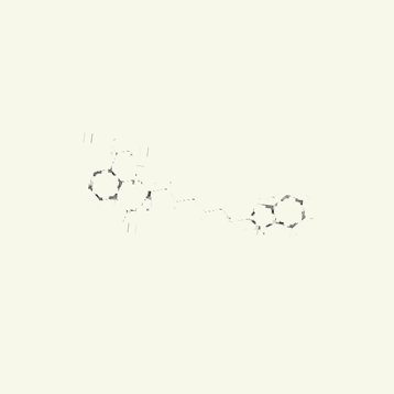 CC(C)c1cccc(C(C)C)c1NC(=O)CCCCCSc1nc2ccccc2s1